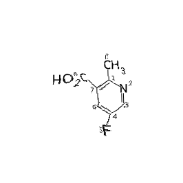 Cc1n[c]c(F)cc1C(=O)O